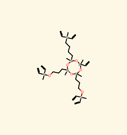 C=C[Si](C)(C=C)CCCC[Si]1(C)O[Si](C)(C=C)O[Si](C)(CCCO[Si](C)(C=C)C=C)O[Si](C)(CCCO[Si](C)(C=C)C=C)O1